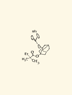 CCCOC(=O)OC12CC3CC(C1)CC(OC(=O)C(C)(C)CC)(C3)C2